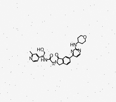 Cc1cc([C@@H](CO)NC(=O)[C@@H](C)N2Cc3ccc(-c4ccnc(NC5CCOCC5)n4)cc3C2=O)ccn1